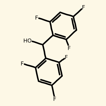 OC(c1c(F)cc(F)cc1F)c1c(F)cc(F)cc1F